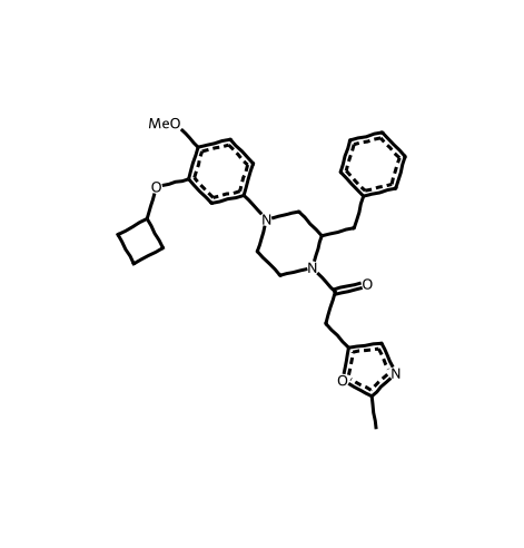 COc1ccc(N2CCN(C(=O)Cc3cnc(C)o3)C(Cc3ccccc3)C2)cc1OC1CCC1